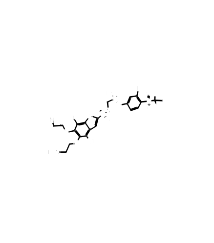 NCCOc1c(OCCN)c(Cl)c2sc(S(=O)(=O)NCP(=O)(O)Oc3ccc(S(=O)(=O)C(F)(F)F)c(F)c3)cc2c1Cl